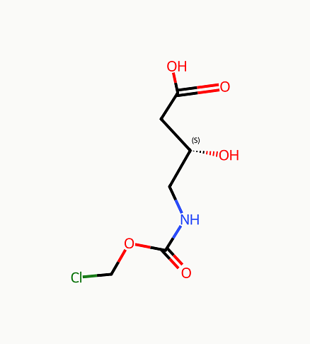 O=C(O)C[C@H](O)CNC(=O)OCCl